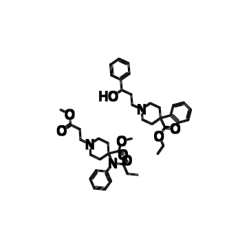 CCC(=O)N(c1ccccc1)C1(C(=O)OC)CCN(CCC(=O)OC)CC1.CCOC(=O)C1(c2ccccc2)CCN(CCC(O)c2ccccc2)CC1